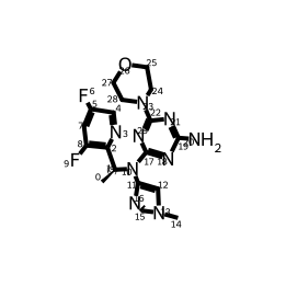 C[C@@H](c1ncc(F)cc1F)N(c1cn(C)cn1)c1nc(N)nc(N2CCOCC2)n1